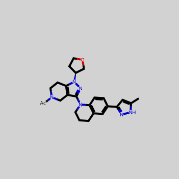 CC(=O)N1CCc2c(c(N3CCCc4cc(-c5cc(C)[nH]n5)ccc43)nn2[C@H]2CCOC2)C1